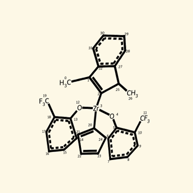 CC1=[C]([Zr]([O]c2ccccc2C(F)(F)F)([O]c2ccccc2C(F)(F)F)[C]2=CC=CC2)C(C)c2ccccc21